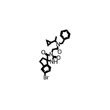 CC(C1CC1)N(Cc1ccccc1)C(=O)CN1C(=O)NC2(CCc3cc(Br)ccc32)C1=O